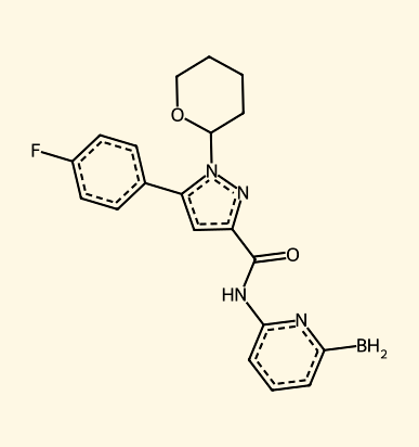 Bc1cccc(NC(=O)c2cc(-c3ccc(F)cc3)n(C3CCCCO3)n2)n1